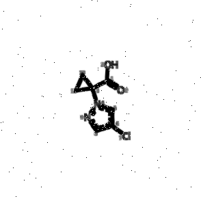 O=C(O)C1(n2cc(Cl)cn2)CC1